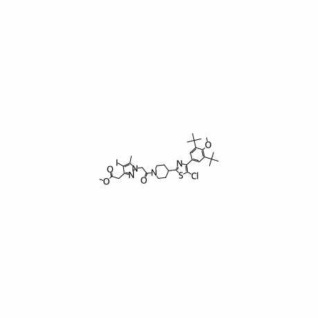 COC(=O)Cc1nn(CC(=O)N2CCC(c3nc(-c4cc(C(C)(C)C)c(OC)c(C(C)(C)C)c4)c(Cl)s3)CC2)c(C)c1I